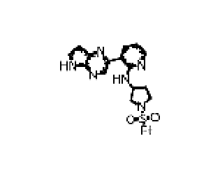 CCS(=O)(=O)N1CCC(Nc2ncccc2-c2cnc3[nH]ccc3n2)C1